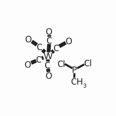 CP(Cl)Cl.O=[C]=[W](=[C]=O)(=[C]=O)(=[C]=O)=[C]=O